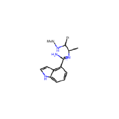 CCC(NNC)C(C)/N=C(\N)c1cccc2[nH]ccc12